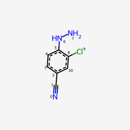 N#Cc1ccc(NN)c(Cl)c1